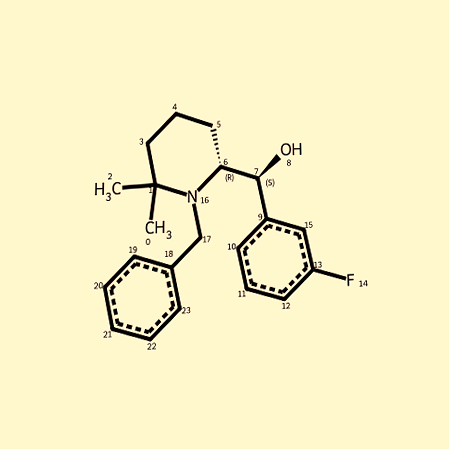 CC1(C)CCC[C@H]([C@@H](O)c2cccc(F)c2)N1Cc1ccccc1